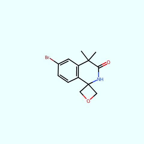 CC1(C)C(=O)NC2(COC2)c2ccc(Br)cc21